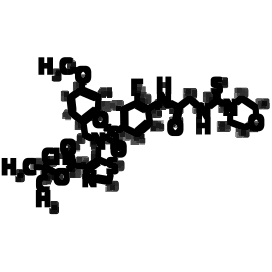 COc1ccc(CN(c2scnc2C(=O)OC(C)(C)C)S(=O)(=O)c2ccc(NC(=O)CNC(=S)N3CCOCC3)c(F)c2)cc1